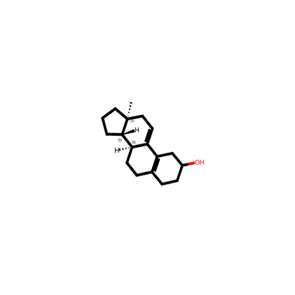 C[C@]12CC=C3C4=C(CCC(O)C4)CC[C@H]3[C@@H]1CCC2